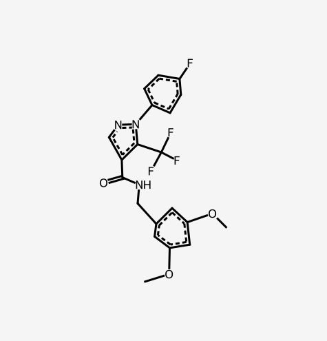 COc1cc(CNC(=O)c2cnn(-c3ccc(F)cc3)c2C(F)(F)F)cc(OC)c1